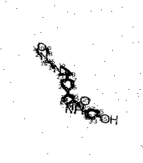 Nc1ncc(-c2ccc(C34CC3CN(CCCN3CCOCC3)C4)cc2)cc1C(=O)NC1CCC(O)CC1